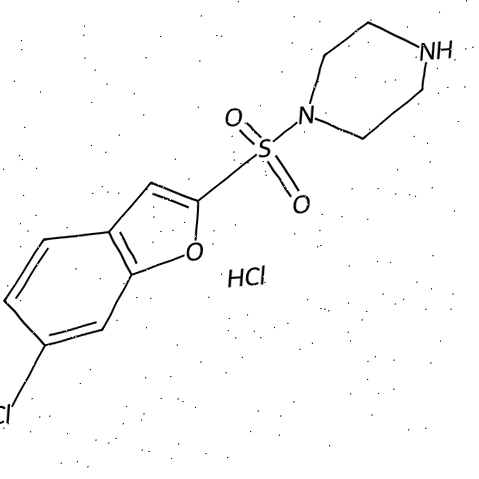 Cl.O=S(=O)(c1cc2ccc(Cl)cc2o1)N1CCNCC1